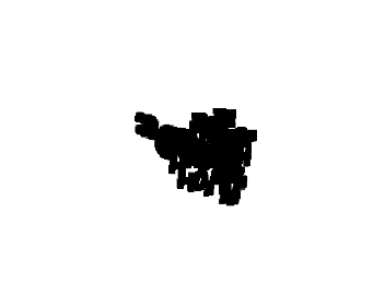 CC[C@@H]1C[C@]1(NC(=O)[C@@H]1C[C@@](C(C)C)(C2CCC2)CN1C(=O)[C@@H](NC(=O)N[C@H](C(=O)O)C1CCCCC1)C(C)(C)C)C(=O)NS(=O)(=O)C1CC1